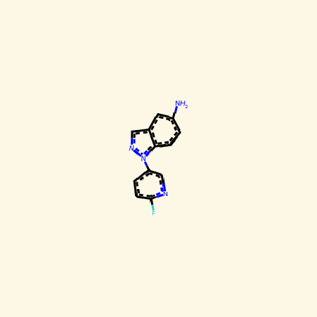 Nc1ccc2c(cnn2-c2ccc(F)nc2)c1